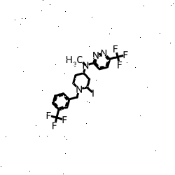 CN(c1ccc(C(F)(F)F)nn1)C1CCN(Cc2cccc(C(F)(F)F)c2)C(I)C1